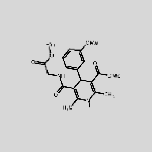 COC(=O)C1=C(C)NC(C)=C(C(=O)NCC(=O)OC(C)(C)C)C1c1cccc(OC)c1